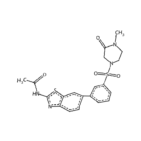 CC(=O)Nc1nc2ccc(-c3cccc(S(=O)(=O)N4CCN(C)C(=O)C4)c3)cc2s1